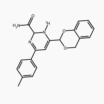 [2H]N1C(C2OCc3ccccc3O2)=CC(c2ccc(C)cc2)=NC1C(N)=O